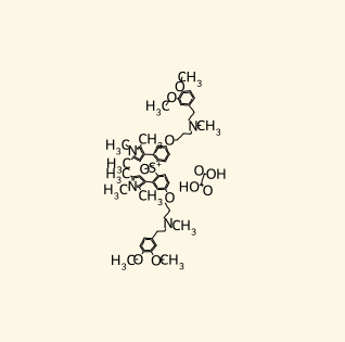 COc1ccc(CCN(C)CCCOc2ccc([S+]([O-])c3ccc(OCCCN(C)CCc4ccc(OC)c(OC)c4)cc3-c3cc(C)n(C)c3C)c(-c3cc(C)n(C)c3C)c2)cc1OC.O=C(O)C(=O)O